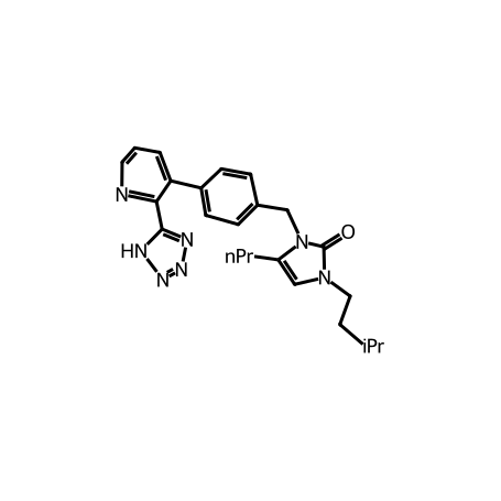 CCCc1cn(CCC(C)C)c(=O)n1Cc1ccc(-c2cccnc2-c2nnn[nH]2)cc1